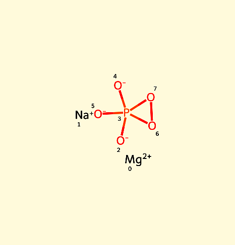 [Mg+2].[Na+].[O-]P1([O-])([O-])OO1